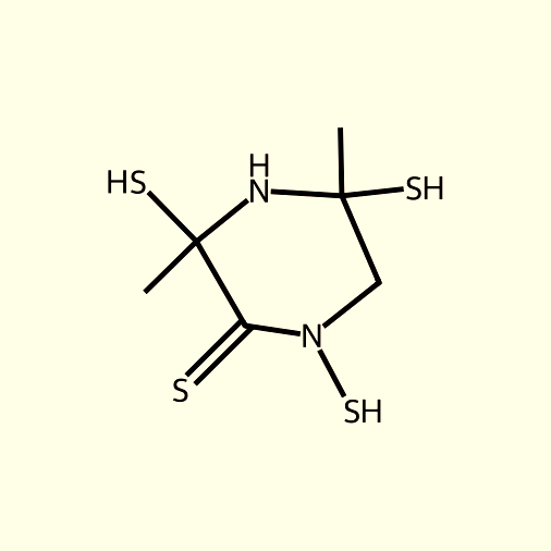 CC1(S)CN(S)C(=S)C(C)(S)N1